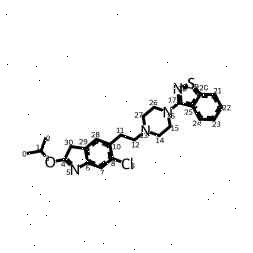 CC(C)OC1=Nc2cc(Cl)c(CCN3CCN(c4nsc5ccccc45)CC3)cc2C1